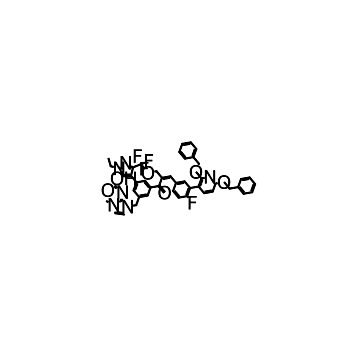 CCn1cc(-c2cc(Cn3ccn(C)c3=NC(=O)O)cc3c2OCC(=Cc2ccc(F)c(-c4ccc(OCc5ccccc5)nc4OCc4ccccc4)c2)C3=O)c(C(F)(F)F)n1